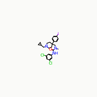 CN(CC1(c2ccc(I)cc2)CCN(CC2CC2)CC1)C(=O)Nc1cc(Cl)cc(Cl)c1